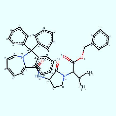 CC(C)C(C(=O)OCc1ccccc1)N1CCC(NC(=O)C2=CC=CC=CN2C(c2ccccc2)(c2ccccc2)c2ccccc2)C1=O